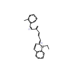 C=C(C=C/C=C1\C=Cc2ccccc2N1CC)/C=C\c1ccccc1C